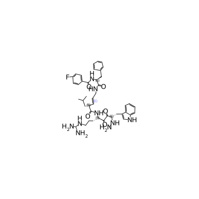 CC(C)C[C@H](/C=C/CNC(=O)[C@H](Cc1ccccc1)NC(=O)c1ccc(F)cc1)C(=O)N[C@@H](CCCNC(N)N)C(=O)C(=O)[C@H](Cc1c[nH]c2ccccc12)NN